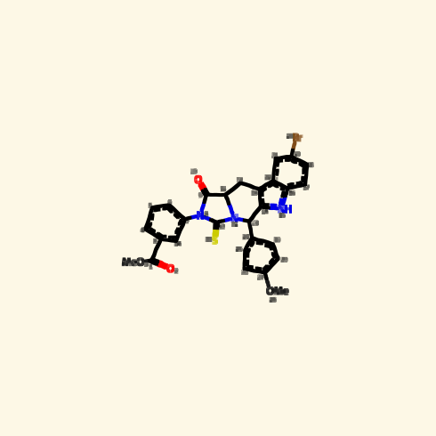 COC(=O)c1cccc(N2C(=O)C3Cc4c([nH]c5ccc(Br)cc45)C(c4ccc(OC)cc4)N3C2=S)c1